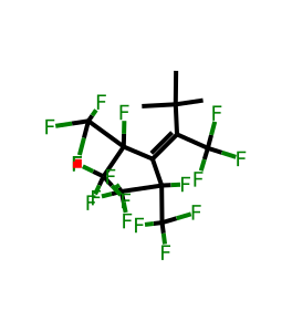 CC(C)(C)C(=C(C(F)(C(F)(F)F)C(F)(F)F)C(F)(C(F)(F)F)C(F)(F)F)C(F)(F)F